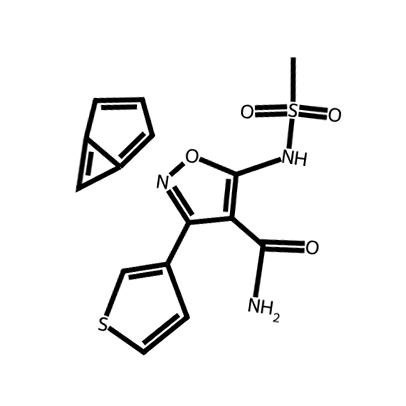 CS(=O)(=O)Nc1onc(-c2ccsc2)c1C(N)=O.c1cc2cc-2c1